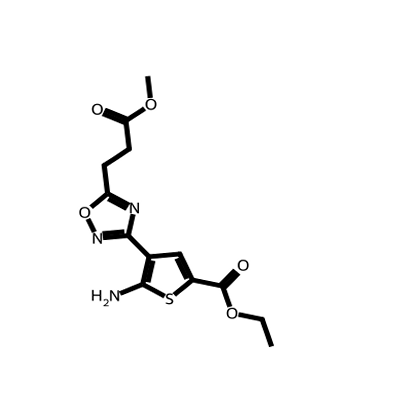 CCOC(=O)c1cc(-c2noc(CCC(=O)OC)n2)c(N)s1